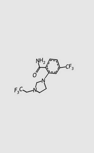 NC(=O)c1ccc(C(F)(F)F)cc1N1CCN(CC(F)(F)F)C1